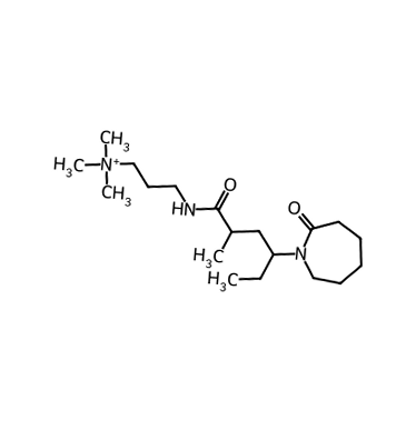 CCC(CC(C)C(=O)NCCC[N+](C)(C)C)N1CCCCCC1=O